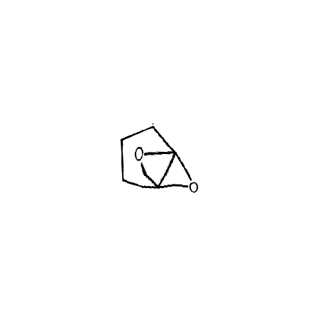 [CH]1CCC23OC12O3